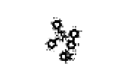 CC1CC2CCC1CC(C)N2c1ccc2c3ccccc3n(-c3nc(-c4ccccc4)nc(-c4ccccc4)n3)c2c1